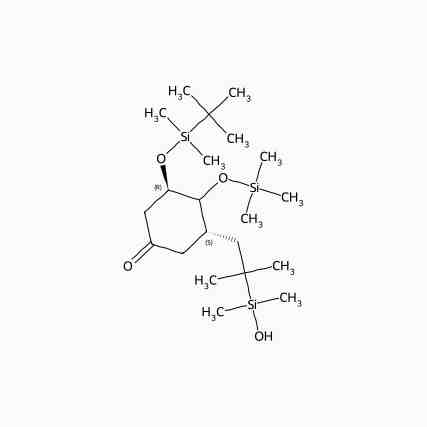 CC(C)(C[C@@H]1CC(=O)C[C@@H](O[Si](C)(C)C(C)(C)C)C1O[Si](C)(C)C)[Si](C)(C)O